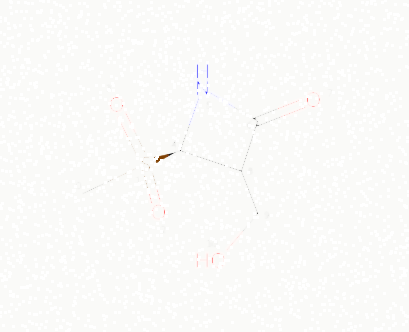 CS(=O)(=O)[C@H]1NC(=O)C1CO